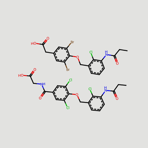 CCC(=O)Nc1cccc(COc2c(Br)cc(CC(=O)O)cc2Br)c1Cl.CCC(=O)Nc1cccc(COc2c(Cl)cc(C(=O)NCC(=O)O)cc2Cl)c1Cl